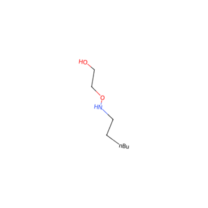 CCCCCCNOCCO